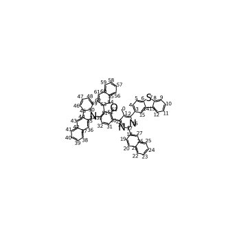 Cc1c(-c2ccc3sc4ccccc4c3c2)nc(-c2ccc3ccccc3c2)nc1-c1ccc(N2c3cc4ccccc4cc3C3C=CC=CC32)c2c1OC1c3ccccc3C=CC21